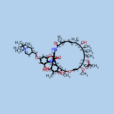 CO[C@H]1/C=C/O[C@@]2(C)Oc3c(C)c(O)c4c(=O)c(c5oc6cc(OCC7CC[N+](C)(C(C)(C)C)CC7)cc(O)c6nc-5c4c3C2=O)NC(=O)/C(C)=C\C=C\[C@H](C)[C@H](O)[C@@H](C)[C@@H](C)[C@@H](C)[C@H](OC(C)=O)[C@@H]1C